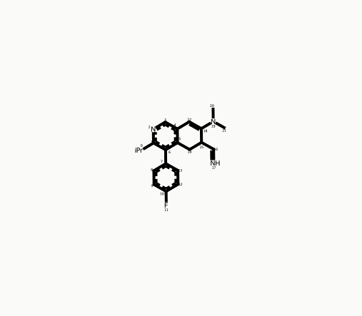 CC(C)c1ncc2c(c1-c1ccc(F)cc1)CC(C=N)C(N(C)C)=C2